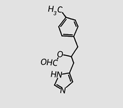 Cc1ccc(CC(Cc2cnc[nH]2)OC=O)cc1